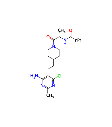 CCCC(=O)N[C@@H](C)C(=O)N1CCC(CCc2c(N)nc(C)nc2Cl)CC1